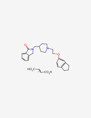 O=C(O)/C=C/C(=O)O.O=C1c2ccccc2CN1CC1CCN(CCOc2ccc3c(c2)CCC3)CC1